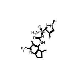 CCn1cc(F)c([S@@](N)(=O)=NC(=O)Nc2c(C)c(C(F)(F)F)nc3c2C(C)CC3)n1